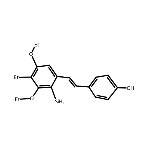 CCOc1cc(C=Cc2ccc(O)cc2)c([SiH3])c(OCC)c1CC